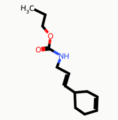 CCCOC(=O)NC/C=C/C1CC=CCC1